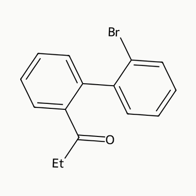 CCC(=O)c1ccccc1-c1ccccc1Br